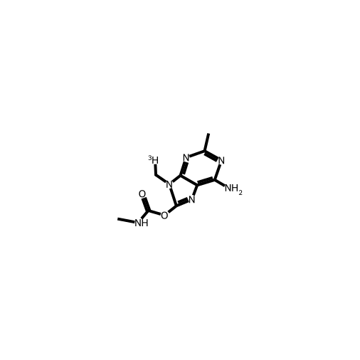 [3H]Cn1c(OC(=O)NC)nc2c(N)nc(C)nc21